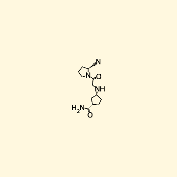 N#C[C@@H]1CCCN1C(=O)CN[C@H]1CC[C@H](C(N)=O)C1